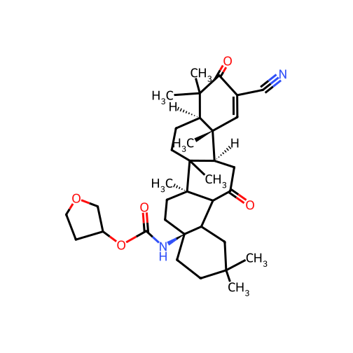 CC1(C)CC[C@]2(NC(=O)OC3CCOC3)CC[C@]3(C)C(C(=O)C[C@H]4C3(C)CC[C@H]3C(C)(C)C(=O)C(C#N)=C[C@@]34C)C2C1